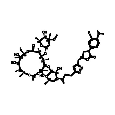 CO[C@]1(C)C[C@H](O[C@H]2[C@H](C)[C@@H](O[C@@H]3O[C@H](C)C[C@H](N(C)CCc4cn(C[C@H]5CN(c6ccc(N(C)C)c(F)c6)C(=O)O5)nn4)[C@H]3O)[C@](C)(O)C[C@@H](C)CN(C)[C@H](C)[C@@H](O)[C@](C)(O)[C@@H](I)OC(=O)[C@@H]2C)O[C@@H](C)[C@@H]1O